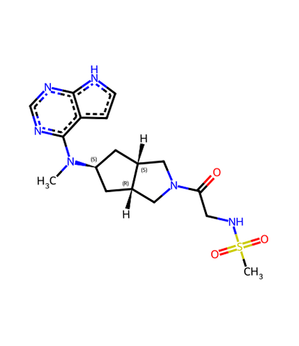 CN(c1ncnc2[nH]ccc12)[C@H]1C[C@@H]2CN(C(=O)CNS(C)(=O)=O)C[C@@H]2C1